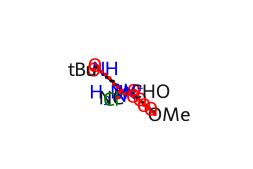 COCCOCCOCCOCCOC(OC=O)[n+]1ccc(N(CCCCCCCCCCCCNC(=O)OC(C)(C)C)C(N)=NC#N)cc1.[Cl-]